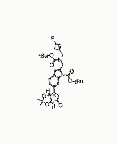 CC(C)(C)OC(=O)N(Cc1cc2ccc([C@H]3CC(=O)[C@@H]4OC(C)(C)O[C@H]34)cc2n1C(=O)OC(C)(C)C)CC12CC(F)(C1)C2